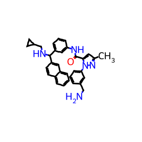 Cc1cc(C(=O)Nc2cccc(C(NCC3CC3)c3ccc4ccccc4c3)c2)n(-c2cccc(CN)c2)n1